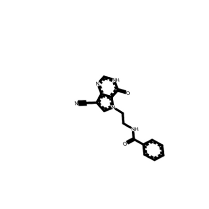 N#Cc1cn(CCNC(=O)c2ccccc2)c2c(=O)[nH]cnc12